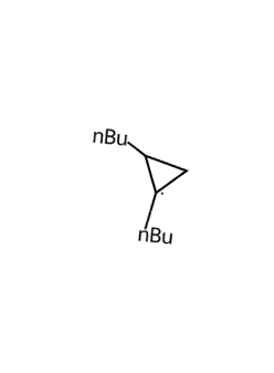 CCCC[C]1CC1CCCC